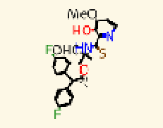 COc1ccnc(C(=S)N[C@@](C)(C=O)CO[C@H](C)C(c2ccc(F)cc2)c2ccc(F)cc2)c1O